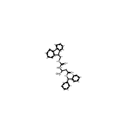 O=CC(CC(=O)OC(c1ccccc1)c1ccccc1)NC(=O)OCC1c2ccccc2-c2ccccc21